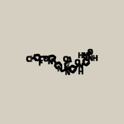 O=C(Nc1ccc2[nH]c(=O)[nH]c2c1)c1ccc2nc(CN3CC=C(c4cccc(OCc5ccc(Cl)cc5F)n4)CC3)n(C[C@@H]3CCO3)c2c1